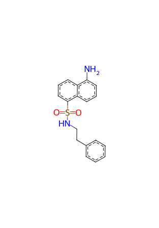 Nc1cccc2c(S(=O)(=O)NCCc3ccccc3)cccc12